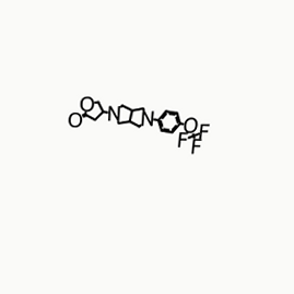 O=C1CC(N2CC3CN(c4ccc(OC(F)(F)F)cc4)CC3C2)CO1